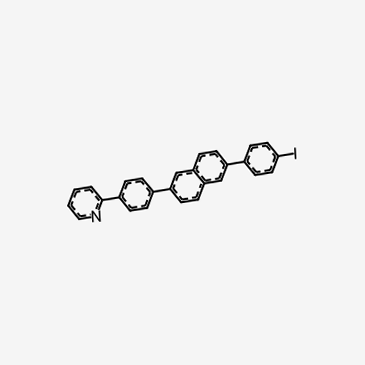 Ic1ccc(-c2ccc3cc(-c4ccc(-c5ccccn5)cc4)ccc3c2)cc1